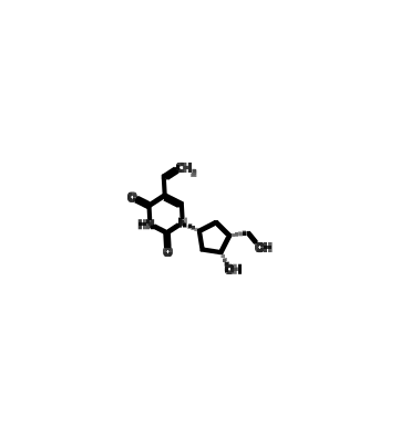 C=Cc1cn([C@@H]2C[C@H](CO)[C@H](O)C2)c(=O)[nH]c1=O